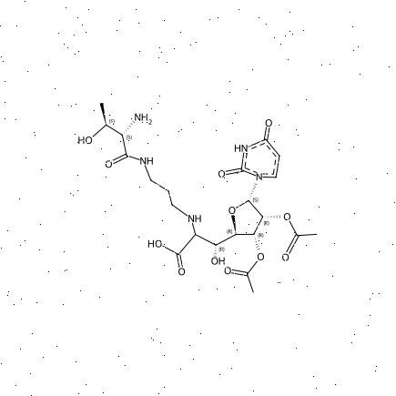 CC(=O)O[C@H]1[C@@H](OC(C)=O)[C@@H](n2ccc(=O)[nH]c2=O)O[C@@H]1[C@H](O)C(NCCCNC(=O)[C@@H](N)[C@H](C)O)C(=O)O